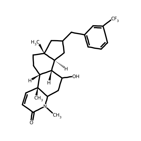 CN1C(=O)C=C[C@@]2(C)C1CC(O)[C@@H]1[C@H]2CC[C@]2(C)CC(Cc3cccc(C(F)(F)F)c3)C[C@@H]12